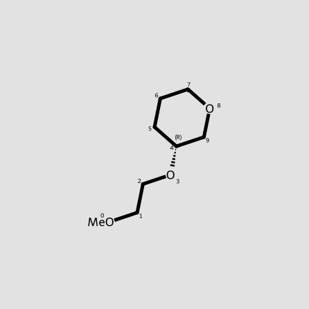 COCCO[C@@H]1CC[CH]OC1